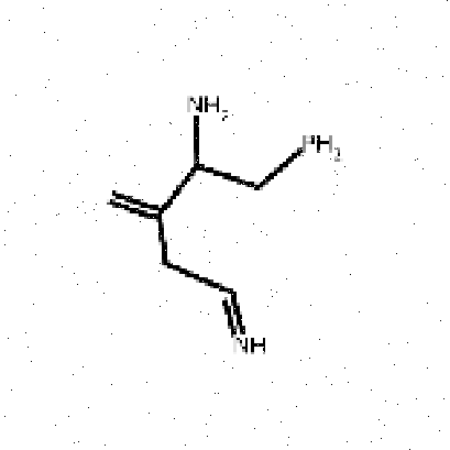 C=C(CC=N)C(N)CP